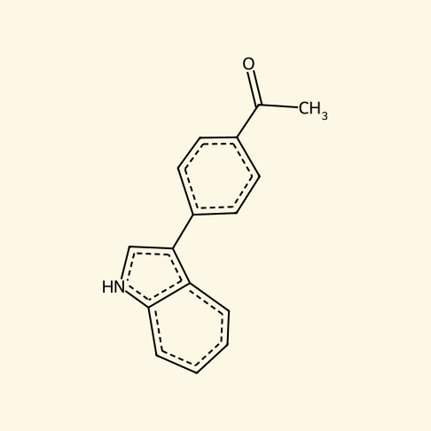 CC(=O)c1ccc(-c2c[nH]c3ccccc23)cc1